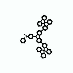 CN(c1ccccc1)c1ccc(C2c3ccc(-c4ccc5c(c4)C4(C6=C(C=CCC6)c6ccccc64)c4ccccc4-5)cc3-c3cc(-c4ccc5c(c4)C4(c6ccccc6-c6ccccc64)c4ccccc4-5)ccc32)cc1